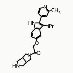 Cc1cc(-c2[nH]c3ccc(OCC(=O)N4CC5CNCC5C4)cc3c2C(C)C)ccn1